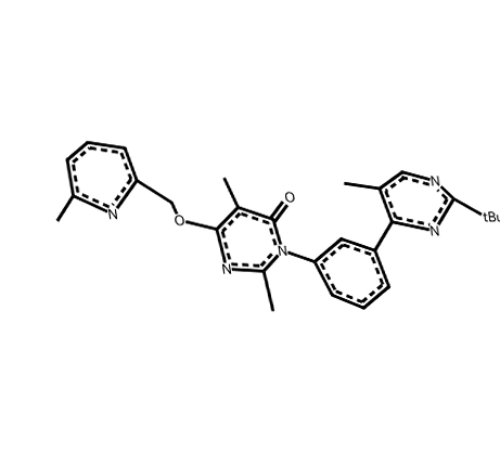 Cc1cccc(COc2nc(C)n(-c3cccc(-c4nc(C(C)(C)C)ncc4C)c3)c(=O)c2C)n1